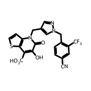 N#Cc1ccc(Cn2cc(Cn3c(=O)c(O)c(C(=O)O)c4sccc43)cn2)c(C(F)(F)F)c1